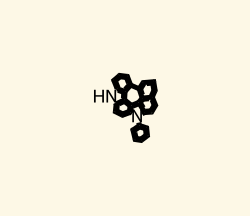 c1ccc(-n2c3ccc4cccc5c4c3c3c4c(ccc32)[nH]c2cccc-5c24)cc1